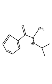 CC(C)NN(N)C(=O)c1ccccc1